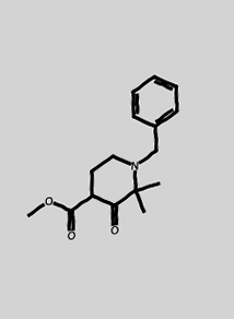 COC(=O)C1CCN(Cc2ccccc2)C(C)(C)C1=O